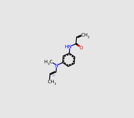 C=CC(=O)Nc1cccc(N(C)/C=C/C)c1